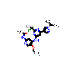 CCOc1cnc(NC(C)=O)cc1Nc1cc(-c2cnn(C(C)C)c2)nc(C(C)(F)F)n1